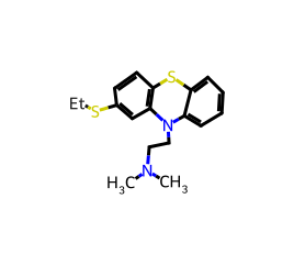 CCSc1ccc2c(c1)N(CCN(C)C)c1ccccc1S2